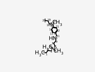 CCCC[N+](C)(C)CCCNCc1ccc(N(C)CCI)cc1